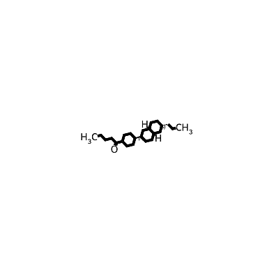 CCCCC(=O)C1CCC([C@@H]2CC[C@H]3C[C@@H](CCC)CC[C@@H]3C2)CC1